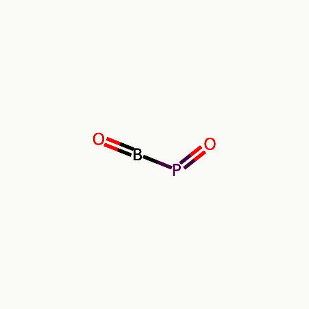 O=BP=O